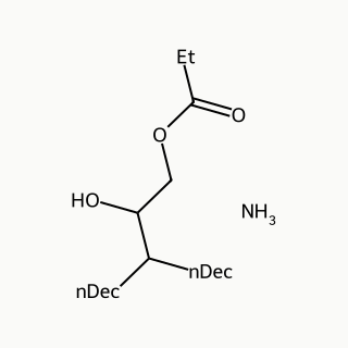 CCCCCCCCCCC(CCCCCCCCCC)C(O)COC(=O)CC.N